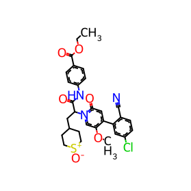 CCOC(=O)c1ccc(NC(=O)C(CC2CC[S+]([O-])CC2)n2cc(OC)c(-c3cc(Cl)ccc3C#N)cc2=O)cc1